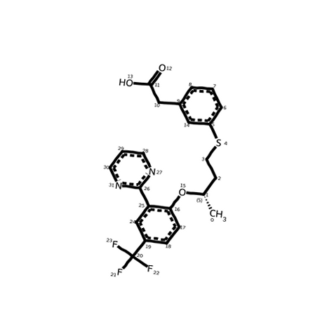 C[C@@H](CCSc1cccc(CC(=O)O)c1)Oc1ccc(C(F)(F)F)cc1-c1ncccn1